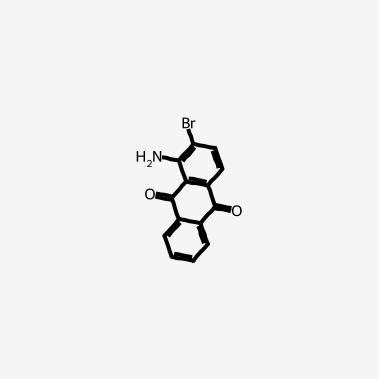 Nc1c(Br)ccc2c1C(=O)c1ccccc1C2=O